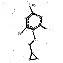 O=Cc1cc(Cl)c(OCC2CC2)c(Cl)c1